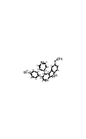 OCc1ccc2[nH]c3ncc(-c4ccc(Br)cc4)c(-c4ccncc4)c3c2c1